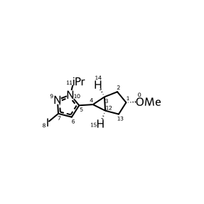 CO[C@H]1C[C@@H]2C(c3cc(I)nn3C(C)C)[C@@H]2C1